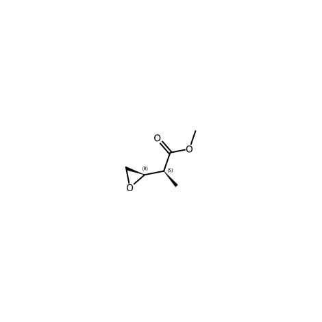 COC(=O)[C@@H](C)[C@@H]1CO1